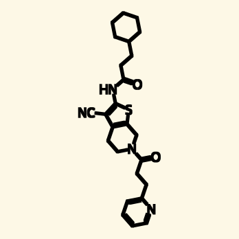 N#Cc1c(NC(=O)CCC2CCCCC2)sc2c1CCN(C(=O)CCc1ccccn1)C2